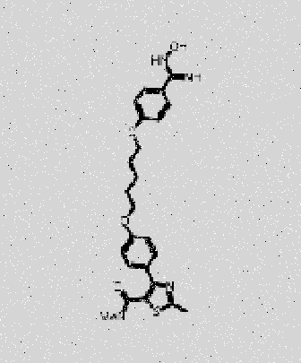 CNC(=O)c1sc(C)nc1-c1ccc(OCCCCCOc2ccc(C(=N)NO)cc2)cc1